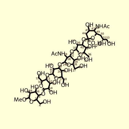 COC1OC(CO)C(OC2OC(CO)C(OC3OC(CO)C(O)C(OC4OC(CO)C(O)C(OC5OC(CO)C(O)C(O[C@]6(C(=O)O)CC(O)C(NC(C)=O)C(C[C@H](O)CO)O6)C5O)C4NC(C)=O)C3O)C(O)C2O)C(O)C1O